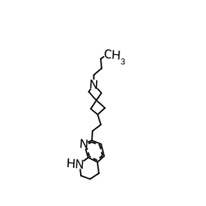 CCCCN1CC2(CC(CCc3ccc4c(n3)NCCC4)C2)C1